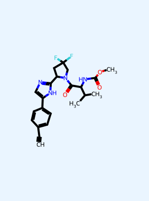 C#Cc1ccc(-c2cnc(C3CC(F)(F)CN3C(=O)C(NC(=O)OC)C(C)C)[nH]2)cc1